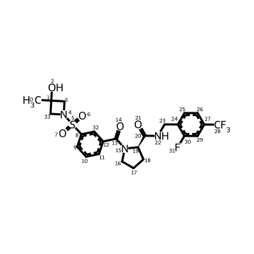 CC1(O)CN(S(=O)(=O)c2cccc(C(=O)N3CCC[C@@H]3C(=O)NCc3ccc(C(F)(F)F)cc3F)c2)C1